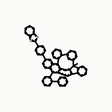 CC12c3cccc(c3)-c3ccccc3-c3c4cc(-c5ccc(-c6nc7ccccc7o6)cc5)ccc4c(-c4ccccc4-c4ccccc4)c4cc(c1cc34)-c1ccccc12